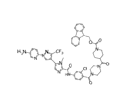 Cn1c(-c2cn(-c3ccc(N)cn3)nc2C(F)(F)F)cnc1C(=O)Nc1ccc(C(=O)N2CCN(C(=O)C3CCN(C(=O)OCC4c5ccccc5-c5ccccc54)CC3)CC2)c(Cl)c1